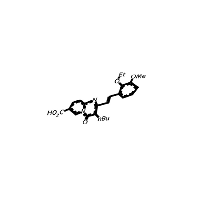 CCCCc1c(/C=C/c2cccc(OC)c2OCC)nc2ccc(C(=O)O)cn2c1=O